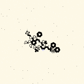 COCOc1c(OC)c(OC)cc(C(CC[C@@H]2OC(C)(C)O[C@@H]2C(/C=C\C[C@H](C)CC(C)(C)[Si](O)(c2ccccc2)c2ccccc2)O[Si](C)(C)C(C)(C)C)Sc2ccccc2)c1C(=O)OCC[Si](C)(C)C